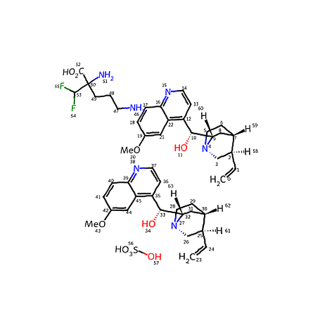 C=C[C@H]1C[N@]2CC[C@H]1C[C@H]2[C@H](O)c1ccnc2ccc(OC)cc12.C=C[C@H]1C[N@]2CC[C@H]1C[C@H]2[C@H](O)c1ccnc2ccc(OC)cc12.NCCCC(N)(C(=O)O)C(F)F.O=S(=O)(O)O